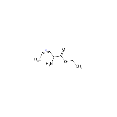 C/C=C\C(N)C(=O)OCC